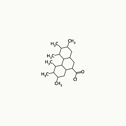 CC1CC2CC(C(=O)Cl)C3CC(C)C(C)C(C)C3C2C(C)C1C